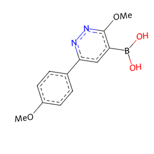 COc1ccc(-c2cc(B(O)O)c(OC)nn2)cc1